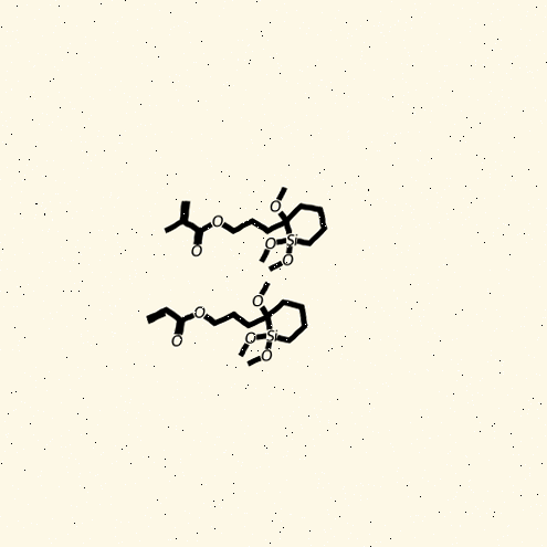 C=C(C)C(=O)OCCCC1(OC)CCCC[Si]1(OC)OC.C=CC(=O)OCCCC1(OC)CCCC[Si]1(OC)OC